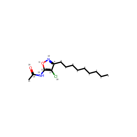 CCCCCCCCCc1noc(NC(C)=O)c1Cl